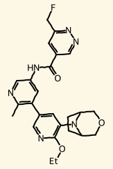 CCOc1ncc(-c2cc(NC(=O)c3cnnc(CF)c3)cnc2C)cc1N1C2CCC1COC2